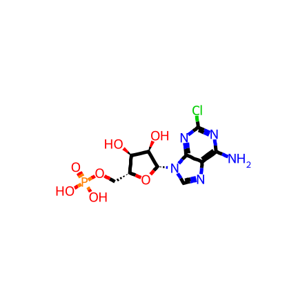 Nc1nc(Cl)nc2c1ncn2[C@@H]1O[C@H](COP(=O)(O)O)[C@@H](O)[C@H]1O